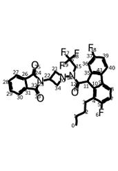 CCCCc1c(F)ccc2c1C(C(=O)N(CC(F)(F)F)N1CC(N3C(=O)c4ccccc4C3=O)C1)c1cc(F)ccc1-2